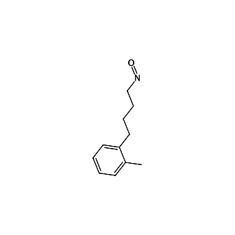 Cc1ccccc1CCCCN=O